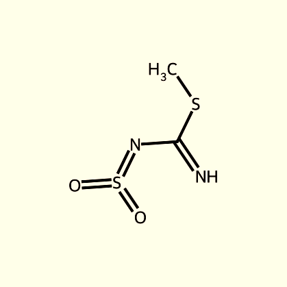 CSC(=N)N=S(=O)=O